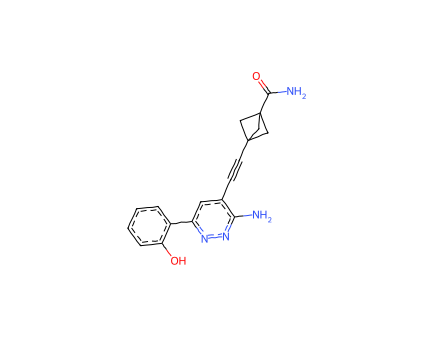 NC(=O)C12CC(C#Cc3cc(-c4ccccc4O)nnc3N)(C1)C2